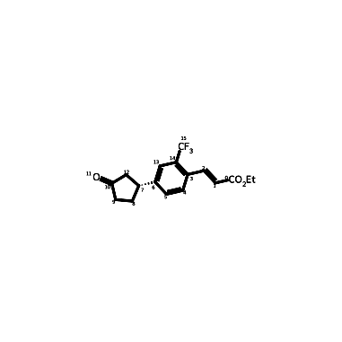 CCOC(=O)/C=C/c1ccc([C@@H]2CCC(=O)C2)cc1C(F)(F)F